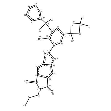 CCCN1C(=O)c2cc3nn(-c4cc(C(C)(C)CC(C)(C)C)cc(C(C)(C)c5ccccc5)c4O)nc3cc2C1=O